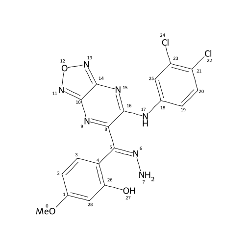 COc1ccc(C(=NN)c2nc3nonc3nc2Nc2ccc(Cl)c(Cl)c2)c(O)c1